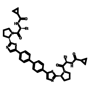 CC[C@@H](NC(=O)C1CC1)C(=O)N1CCC[C@H]1c1ncc(-c2ccc(-c3ccc(-c4cnc([C@@H]5CCCN5C(=O)[C@@H](CC)NC(=O)C5CC5)s4)cc3)cc2)s1